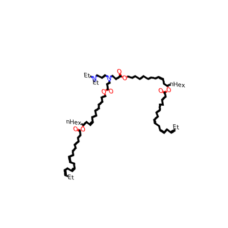 CC/C=C\C/C=C\C/C=C\CCCCCCCC(=O)OC(C/C=C\CCCCCCCCOC(=O)CCN(CCCN(CC)CC)CCC(=O)OCCCCCCCC/C=C\CC(CCCCCC)OC(=O)CCCCCCC/C=C\C/C=C\C/C=C\CC)CCCCCC